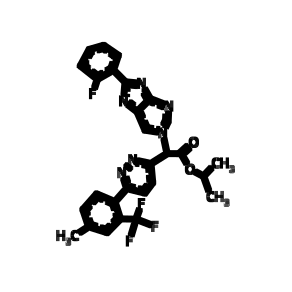 Cc1ccc(-c2ccc(C(C(=O)OC(C)C)n3cnc4nc(-c5ccccc5F)nc-4c3)nn2)c(C(F)(F)F)c1